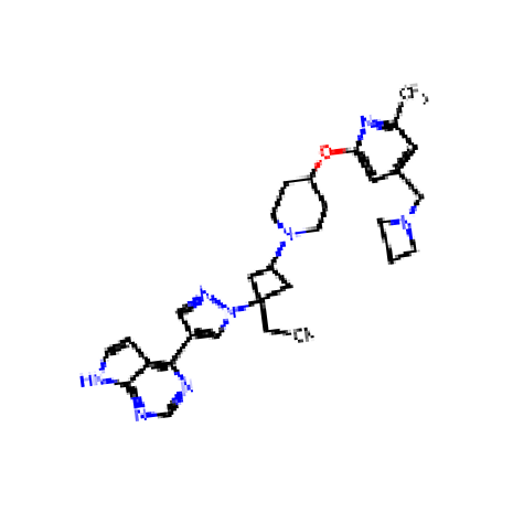 N#CCC1(n2cc(-c3ncnc4[nH]ccc34)cn2)CC(N2CCC(Oc3cc(CN4CCC4)cc(C(F)(F)F)n3)CC2)C1